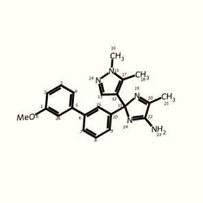 COc1cccc(-c2cccc(C3(c4cnn(C)c4C)N=C(C)C(N)=N3)c2)c1